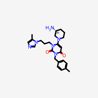 Cc1ccc(Cn2c(=O)cc(N3CCC[C@@H](N)C3)n(CCCn3cncc3C)c2=O)cc1